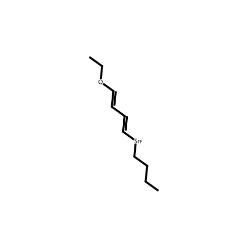 CCC[CH2][Sn][CH]=CC=COCC